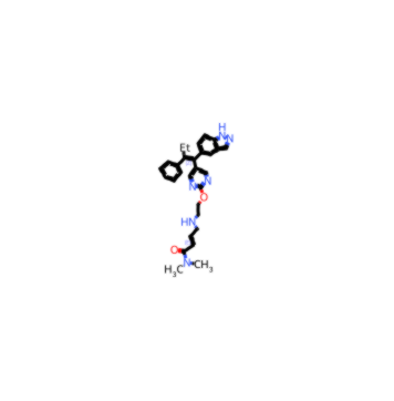 CC/C(=C(/c1cnc(OCCNC/C=C/C(=O)N(C)C)nc1)c1ccc2[nH]ncc2c1)c1ccccc1